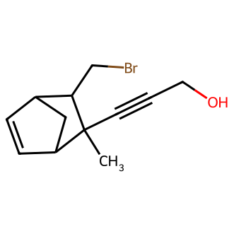 CC1(C#CCO)C2C=CC(C2)C1CBr